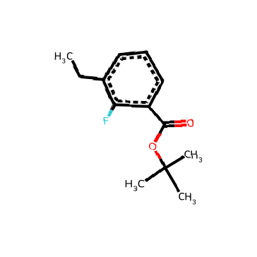 CCc1cccc(C(=O)OC(C)(C)C)c1F